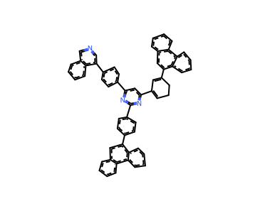 C1=C(c2cc(-c3ccc(-c4cncc5ccccc45)cc3)nc(-c3ccc(-c4cc5ccccc5c5ccccc45)cc3)n2)C=C(c2cc3ccccc3c3ccccc23)CC1